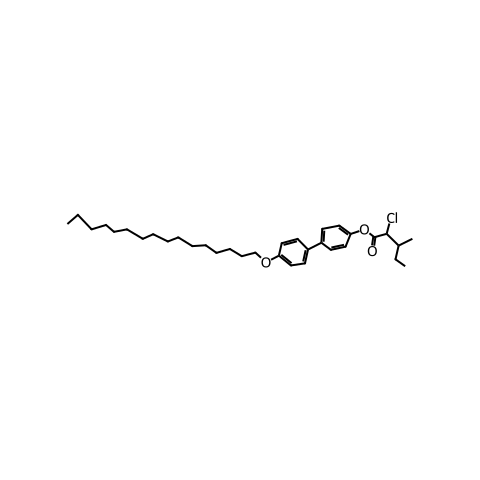 CCCCCCCCCCCCCCCCOc1ccc(-c2ccc(OC(=O)C(Cl)C(C)CC)cc2)cc1